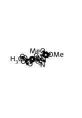 COc1ccc(CN(c2ncns2)S(=O)(=O)c2ccc3c(c2)OCC[C@H]3OS(C)(=O)=O)c(OC)c1